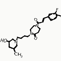 CC1CC(O)CN(CCCCN2CCN(C(=O)/C=C/c3ccc(Cl)c(F)c3)CCC2=O)C1